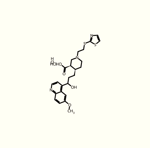 COc1ccc2nccc(C(O)CC[C@@H]3CCN(CCSc4nccs4)C[C@@H]3C(=O)O)c2c1.Cl.Cl